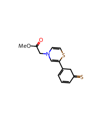 COC(=O)CN1C=CSC(C2=CC=CC(=S)C2)=C1